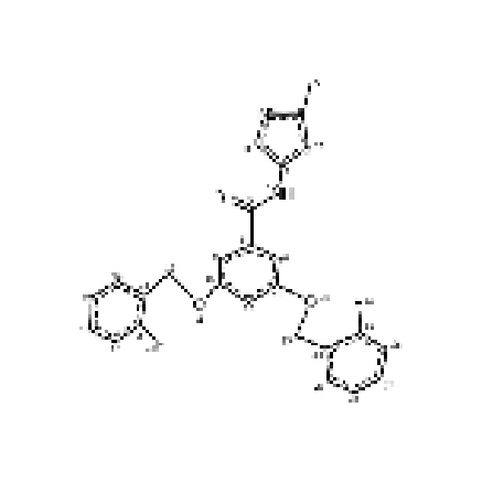 Cc1nnc(NC(=O)c2cc(OCc3ccccc3F)cc(OCc3ccccc3F)c2)s1